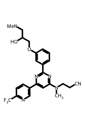 CNCC(O)COc1cccc(-c2nc(-c3ccc(C(F)(F)F)nc3)cc(N(C)CCC#N)n2)c1